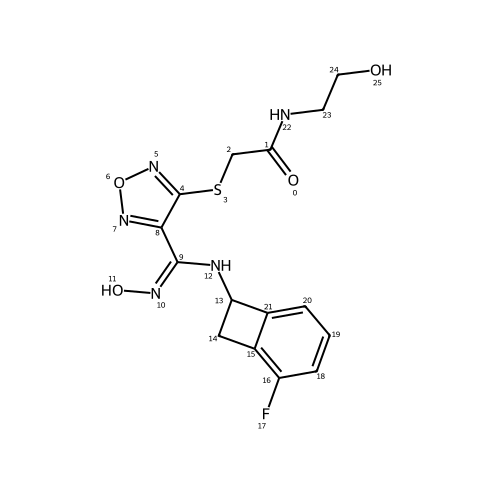 O=C(CSc1nonc1/C(=N\O)NC1Cc2c(F)cccc21)NCCO